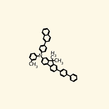 Cc1cccc(N(c2ccc(-c3ccc4ccccc4c3)cc2)c2ccc3c(c2)C(C)(C)c2cc(-c4ccc(-c5ccccc5)cc4)ccc2-3)c1